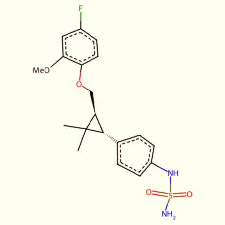 COc1cc(F)ccc1OC[C@H]1[C@H](c2ccc(NS(N)(=O)=O)cc2)C1(C)C